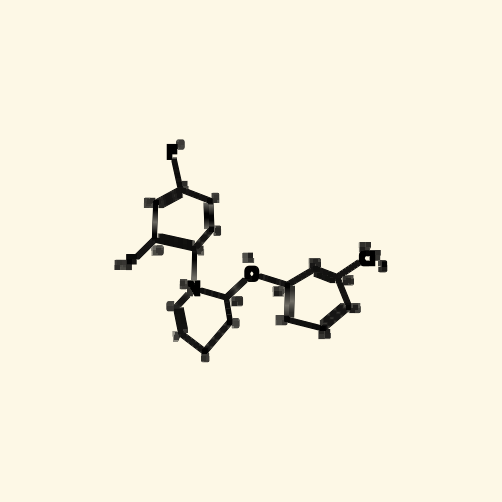 Fc1ccc(N2C=CCCC2Oc2cccc(C(F)(F)F)c2)c(F)c1